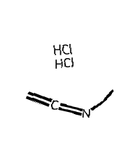 C=C=NC.Cl.Cl